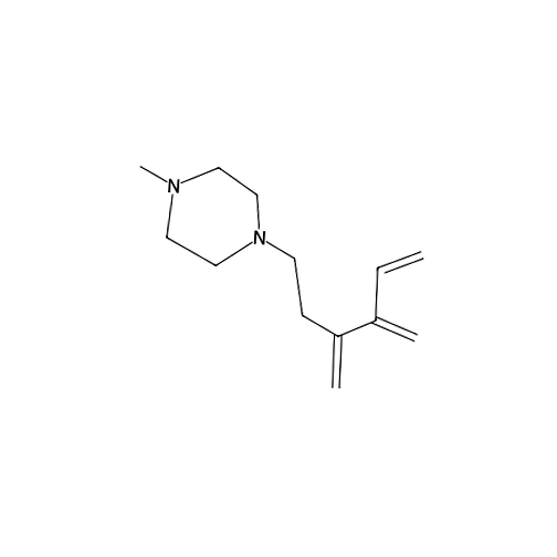 C=CC(=C)C(=C)CCN1CCN(C)CC1